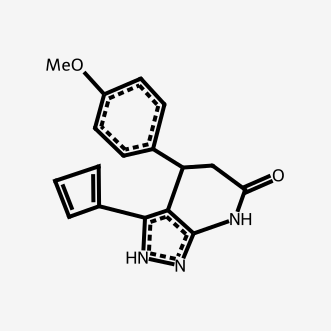 COc1ccc(C2CC(=O)Nc3n[nH]c(C4=CC=C4)c32)cc1